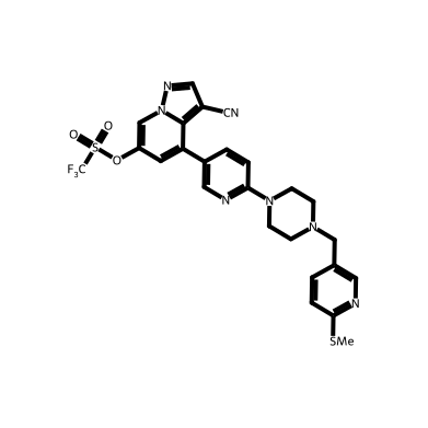 CSc1ccc(CN2CCN(c3ccc(-c4cc(OS(=O)(=O)C(F)(F)F)cn5ncc(C#N)c45)cn3)CC2)cn1